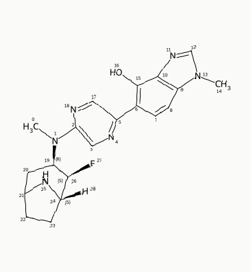 CN(c1cnc(-c2ccc3c(ncn3C)c2O)cn1)[C@@H]1CC2CC[C@H](N2)[C@@H]1F